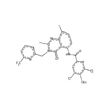 Cc1ccc(NC(=O)c2cc(Cl)c(O)c(Cl)n2)c2c(=O)n(Cc3cccc(C(F)(F)F)n3)c(C)nc12